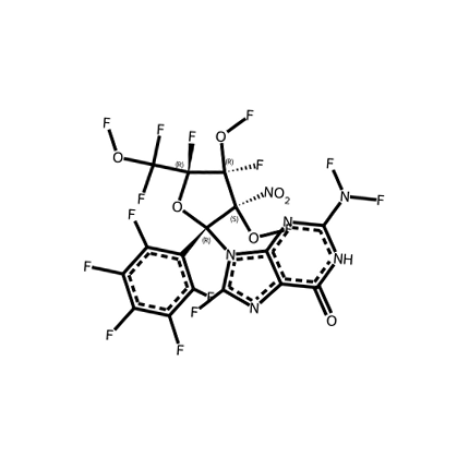 O=c1[nH]c(N(F)F)nc2c1nc(F)n2[C@]1(c2c(F)c(F)c(F)c(F)c2F)O[C@](F)(C(F)(F)OF)[C@@](F)(OF)[C@]1(OF)[N+](=O)[O-]